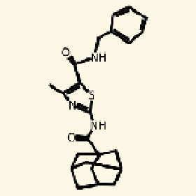 Cc1nc(NC(=O)C23CC4CC(CC(C4)C2)C3)sc1C(=O)NCc1ccccc1